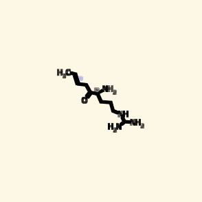 C/C=C/CC(=O)[C@@H](N)CCCNC(N)N